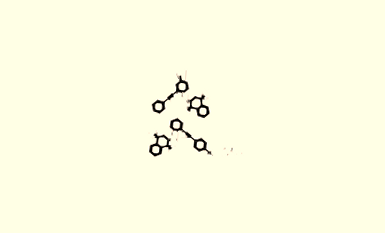 COC(=O)c1ccc(C#Cc2ccccc2NC2=CC(=O)c3ccccc3C2=O)cc1.O=C1C=C(Nc2ccc(Cl)cc2C#Cc2ccccc2)C(=O)c2ccccc21